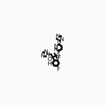 CC(C)(Sc1ccc(-n2cncn2)nn1)C(O)(Cn1cncn1)c1ccc(F)cc1F